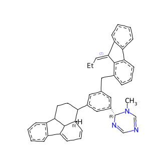 CC/C=C1/c2ccccc2-c2cccc(Cc3cc(C4CCC5c6ccccc6C6=CC=C[C@@H]4C65)cc([C@H]4N=CN=CN4C)c3)c21